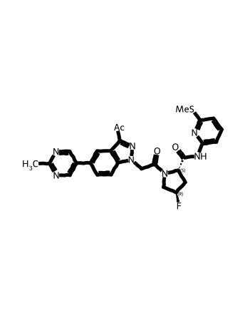 CSc1cccc(NC(=O)[C@@H]2C[C@@H](F)CN2C(=O)Cn2nc(C(C)=O)c3cc(-c4cnc(C)nc4)ccc32)n1